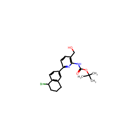 CC(C)(C)OC(=O)Nc1nc(-c2ccc3c(c2)CCCC3Br)ccc1CO